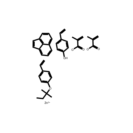 C1=Cc2cccc3cccc1c23.C=C(C)C(=O)[O-].C=C(C)C(=O)[O-].C=Cc1ccc(O)cc1.C=Cc1ccc(OC(C)(C)CC)cc1.[Zn+2]